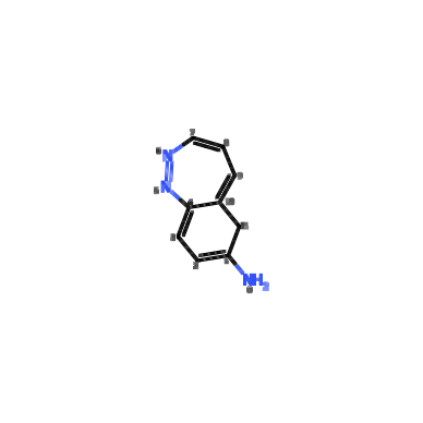 NC1=CC=C2N=NC=CC=C2C1